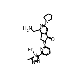 CCn1c(C)nnc1-c1cccc(N2Cc3c(cc(N4CCCC4)nc3CN)C2=O)n1